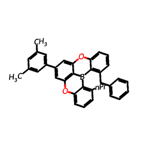 CCCc1cccc2c1B1c3c(Cc4ccccc4)cccc3Oc3cc(-c4cc(C)cc(C)c4)cc(c31)O2